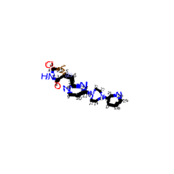 O=C1NC(=O)/C(=C\c2nccc(N3CCN(c4cccnc4)CC3)n2)S1